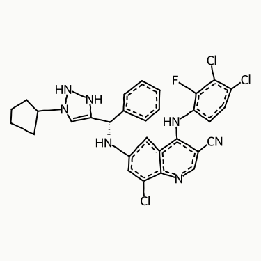 N#Cc1cnc2c(Cl)cc(N[C@H](C3=CN(C4CCCC4)NN3)c3ccccc3)cc2c1Nc1ccc(Cl)c(Cl)c1F